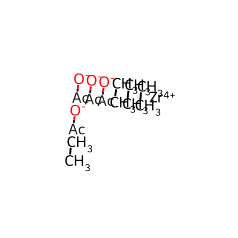 CC.CC.CC.CC.CC(=O)[O-].CC(=O)[O-].CC(=O)[O-].CC(=O)[O-].[Zr+4]